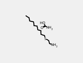 CCCCCCCCCCSCCN.NC(=O)O